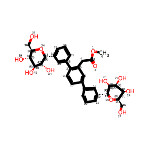 COC(=O)Cc1cc(-c2cccc([C@H]3O[C@H](CO)[C@@H](O)[C@H](O)[C@H]3O)c2)ccc1-c1cccc([C@H]2O[C@H](CO)[C@@H](O)[C@H](O)[C@H]2O)c1